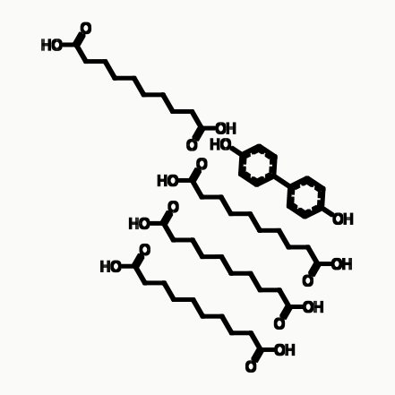 O=C(O)CCCCCCCCC(=O)O.O=C(O)CCCCCCCCC(=O)O.O=C(O)CCCCCCCCC(=O)O.O=C(O)CCCCCCCCC(=O)O.Oc1ccc(-c2ccc(O)cc2)cc1